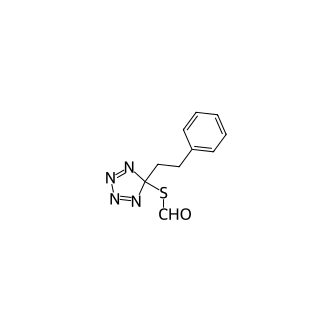 O=CSC1(CCc2ccccc2)N=NN=N1